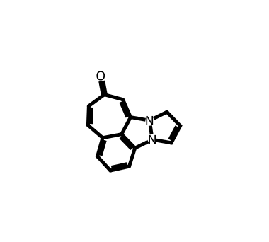 O=c1ccc2cccc3c2c(c1)N1CC=CN31